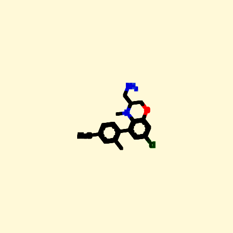 COc1ccc(-c2cc(Cl)cc3c2N(C)C(CN)CO3)c(C)c1